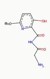 CC(C)COc1ccc(O)c(C(=O)NC(=O)CN)n1